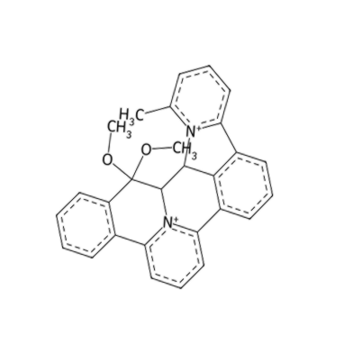 COC1(OC)c2ccccc2-c2cccc3[n+]2C1C1c2c(cccc2-3)-c2cccc(C)[n+]21